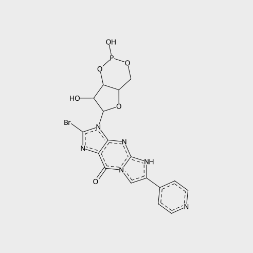 O=c1c2nc(Br)n(C3OC4COP(O)OC4C3O)c2nc2[nH]c(-c3ccncc3)cn12